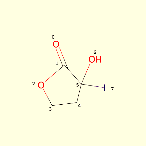 O=C1OCCC1(O)I